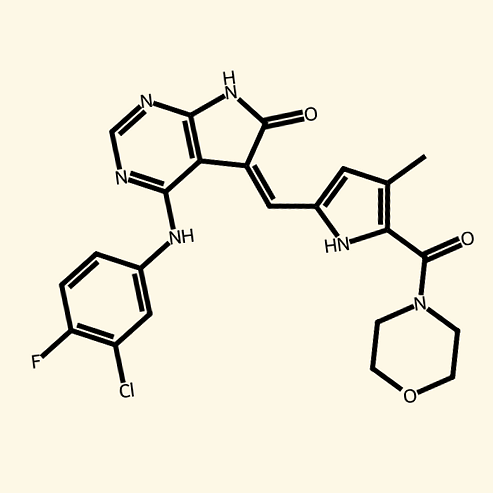 Cc1cc(/C=C2\C(=O)Nc3ncnc(Nc4ccc(F)c(Cl)c4)c32)[nH]c1C(=O)N1CCOCC1